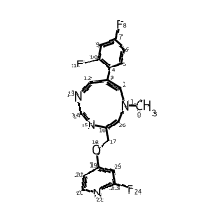 Cn1cc(-c2ccc(F)cc2F)cncnc(COc2ccnc(F)c2)c1